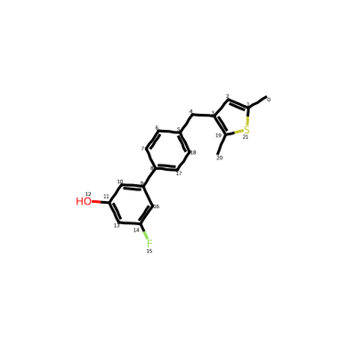 Cc1cc(Cc2ccc(-c3cc(O)cc(F)c3)cc2)c(C)s1